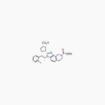 COC(=O)N1CCc2ccc3c(nc([C@@H]4CC[C@H](C(=O)O)C4)n3[C@H](C)Cc3ccccc3C)c2C1